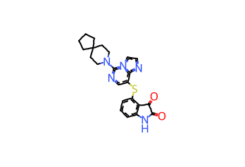 O=C1Nc2cccc(Sc3cnc(N4CCC5(CCCC5)CC4)n4ccnc34)c2C1=O